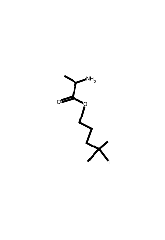 CC(N)C(=O)OCCCC(C)(C)I